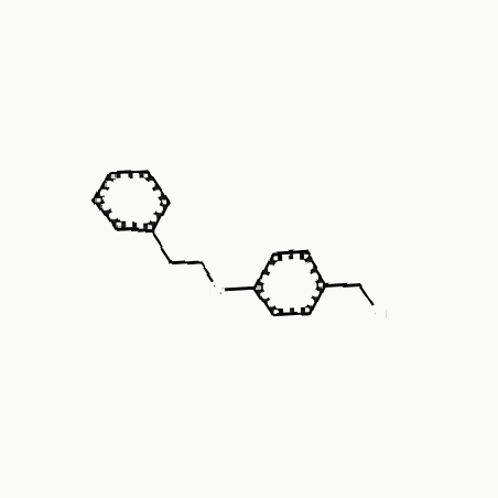 CCc1ccc(NCCc2ccccc2)cc1